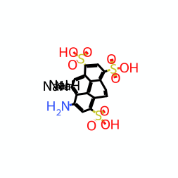 Nc1cc(S(=O)(=O)O)c2ccc3c(S(=O)(=O)O)cc(S(=O)(=O)O)c4ccc1c2c43.[NaH].[NaH].[NaH]